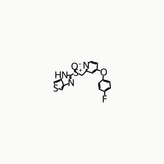 [O-][S+](Cc1cc(Oc2ccc(F)cc2)ccn1)c1nc2cscc2[nH]1